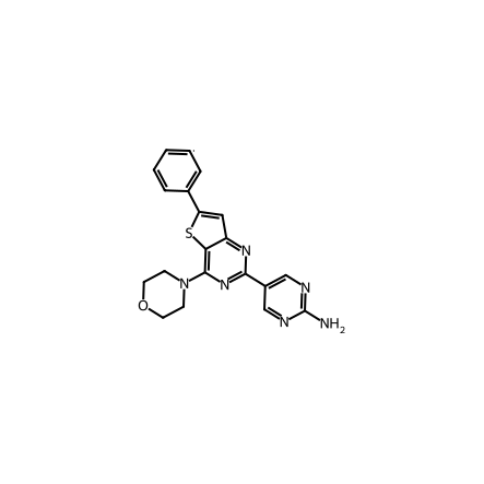 Nc1ncc(-c2nc(N3CCOCC3)c3sc(-c4c[c]ccc4)cc3n2)cn1